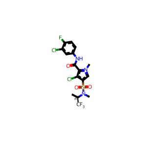 C[C@@H](N(C)S(=O)(=O)c1cn(C)c(C(=O)Nc2ccc(F)c(Cl)c2)c1Cl)C(F)(F)F